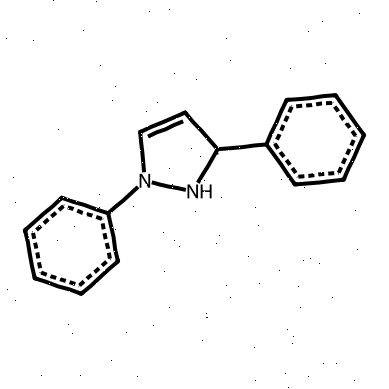 C1=CN(c2ccccc2)N[C]1c1ccccc1